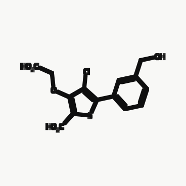 O=C(O)COc1c(C(=O)O)sc(-c2cccc(CO)c2)c1Cl